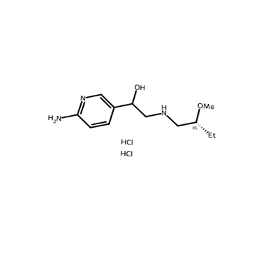 CC[C@H](CNCC(O)c1ccc(N)nc1)OC.Cl.Cl